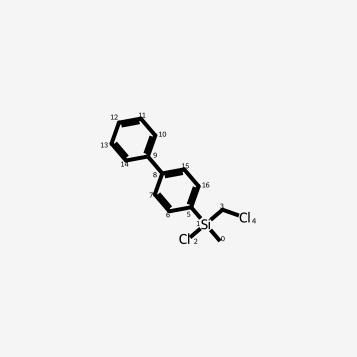 C[Si](Cl)(CCl)c1ccc(-c2ccccc2)cc1